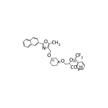 Cc1oc(-c2ccc3ccccc3c2)nc1CO[C@H]1CCC[C@@H](OCC(O[C@H](c2ccccc2)C(F)(F)F)C(=O)O)C1